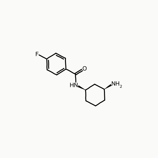 N[C@H]1CCC[C@@H](NC(=O)c2ccc(F)cc2)C1